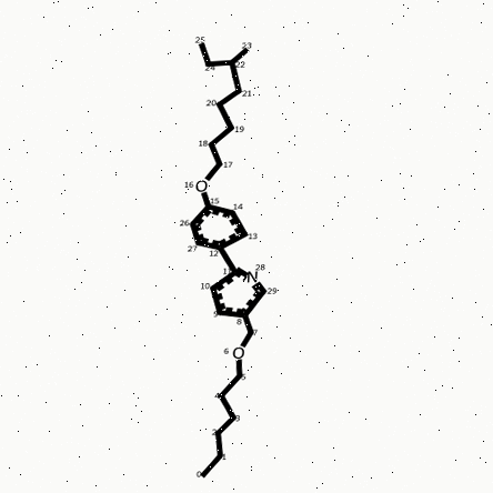 CCCCCCOCc1ccc(-c2ccc(OCCCCCC(C)CC)cc2)nc1